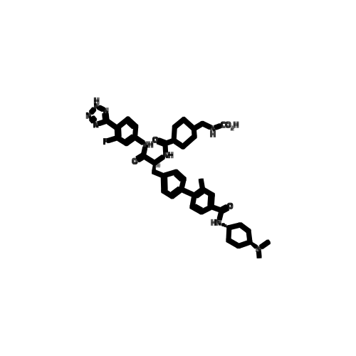 Cc1cc(C(=O)N[C@H]2CC[C@H](N(C)C)CC2)ccc1-c1ccc(C[C@H](NC(=O)C2CCC(CNC(=O)O)CC2)C(=O)Nc2ccc(-c3nn[nH]n3)c(F)c2)cc1